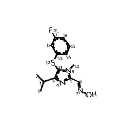 CC(C)c1nc(C=NO)n(C)c1Sc1cccc(F)c1